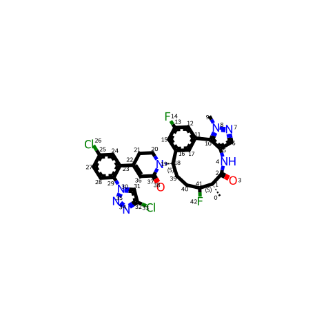 C[C@H]1C(=O)Nc2cnn(C)c2-c2cc(F)cc(c2)[C@@H](N2CCC(c3cc(Cl)ccc3-n3cc(Cl)nn3)=CC2=O)CCC1F